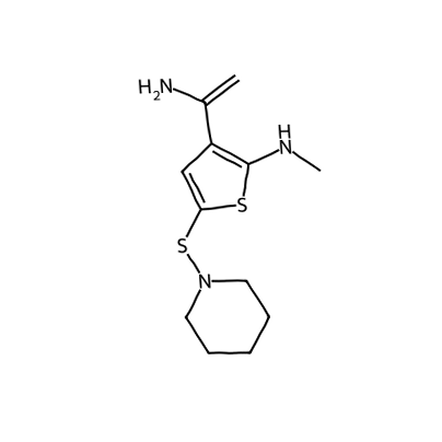 C=C(N)c1cc(SN2CCCCC2)sc1NC